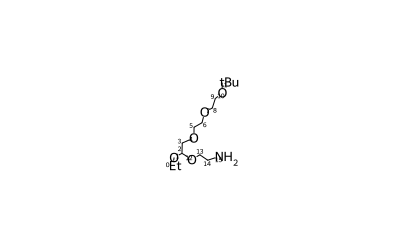 CCOC(COCCOCCOC(C)(C)C)OCCN